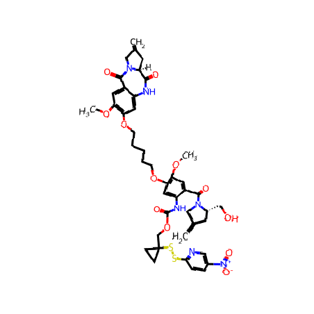 C=C1C[C@@H](CO)N(C(=O)c2cc(OC)c(OCCCCCOc3cc4c(cc3OC)C(=O)N3CC(=C)C[C@H]3C(=O)N4)cc2NC(=O)OCC2(SSc3ccc([N+](=O)[O-])cn3)CC2)C1